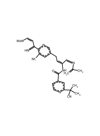 C=C(C)/N=C\C(=C/Cc1cnc(C(=N)/C=C\NC)c(C#N)c1)NC(=O)c1ccnc(C(C)(C)C#N)c1